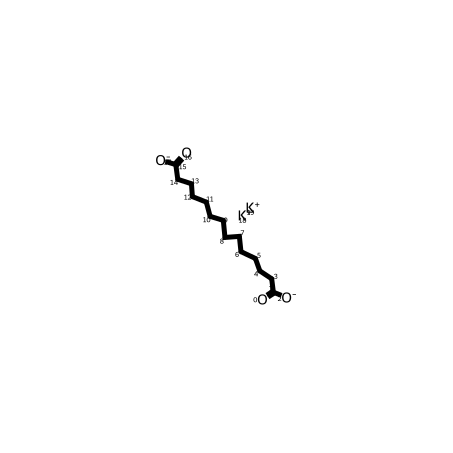 O=C([O-])CCCCCCCCCCCCC(=O)[O-].[K+].[K+]